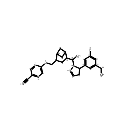 N#Cc1cnc(OCC2CC(C(O)N3N=CCC3c3cc(F)cc(CO)c3)C3CC2C3)cn1